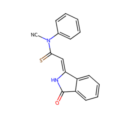 N#CN(C(=S)C=C1NC(=O)c2ccccc21)c1ccccc1